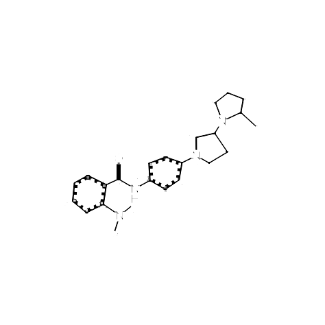 CC1CCCN1C1CCN(c2ccc(NC(=O)c3ccccc3N(C)C)cc2)C1